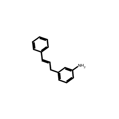 Nc1cccc(C/C=C/c2ccccc2)c1